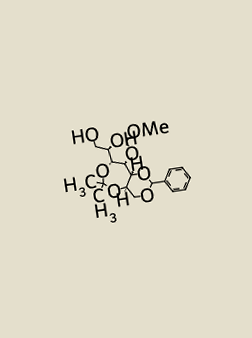 COCO[C@@H]1[C@@H]([C@H](O)CO)OC(C)(C)O[C@@H]2COC(c3ccccc3)O[C@@H]12